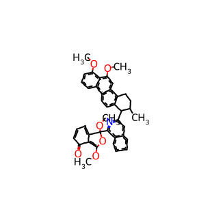 COC1=C2C(=O)C=CC=C2C(OC)(c2nc(C3c4ccc5c(cc(OC)c6c(OC)cccc65)c4CCC3C)cc3ccccc23)O1